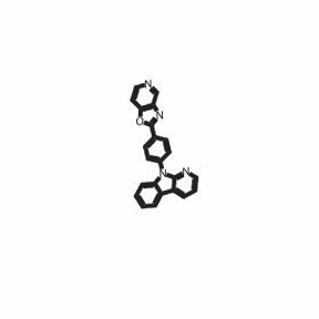 c1ccc2c(c1)c1cccnc1n2-c1ccc(-c2nc3cnccc3o2)cc1